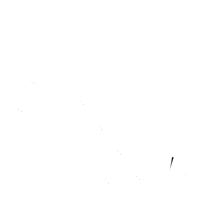 COCC1CN(c2ncc(C(C)C)c3cc(Nc4ccnc(N5CC[C@@H](O)[C@@](C)(F)C5)n4)ncc23)C1